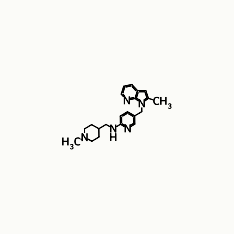 Cc1cc2cccnc2n1Cc1ccc(NCC2CCN(C)CC2)nc1